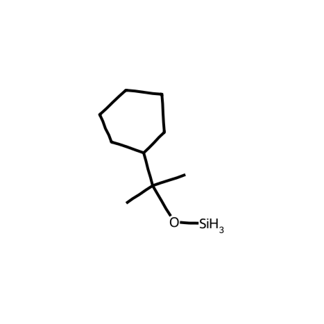 CC(C)(O[SiH3])C1CCCCC1